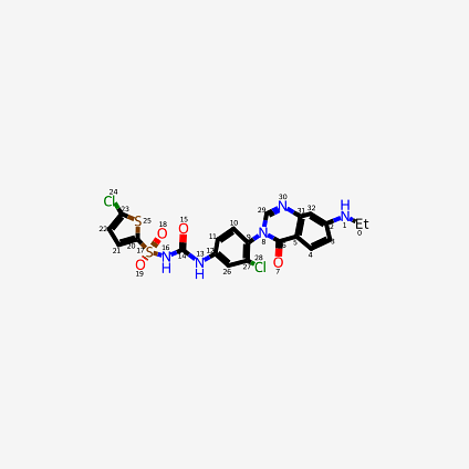 CCNc1ccc2c(=O)n(-c3ccc(NC(=O)NS(=O)(=O)c4ccc(Cl)s4)cc3Cl)cnc2c1